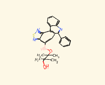 CC(C)(O)C(C)(C)OBc1cc2c(-c3ccccc3)nc3ccccc3c2c2nsnc12